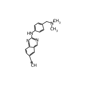 C#Cc1ccc2nc(Nc3ccc(CN(C)C)cc3)ncc2c1